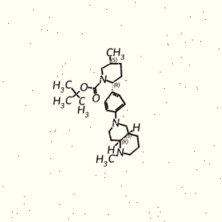 C[C@H]1CC[C@H](c2ccc(N3CC[C@@H]4[C@@H](CCCN4C)C3)cc2)N(C(=O)OC(C)(C)C)C1